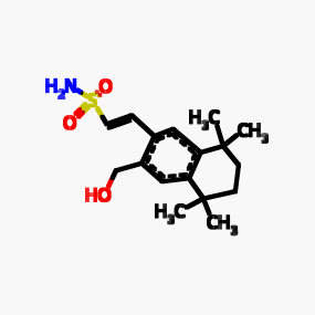 CC1(C)CCC(C)(C)c2cc(CO)c(/C=C/S(N)(=O)=O)cc21